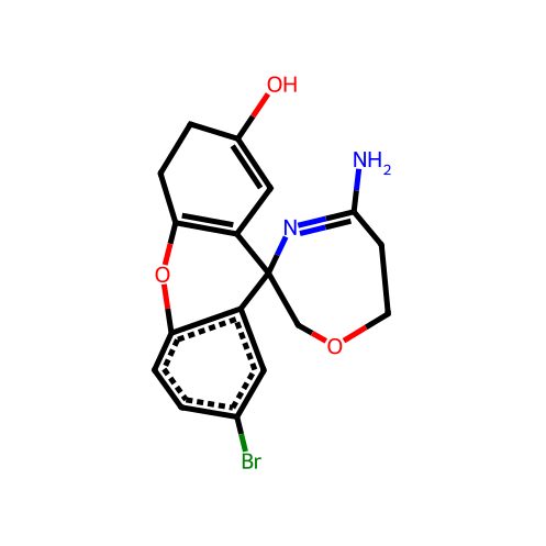 NC1=NC2(COCC1)C1=C(CCC(O)=C1)Oc1ccc(Br)cc12